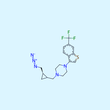 [N-]=[N+]=NC[C@@H]1CC1CN1CCN(c2csc3cc(C(F)(F)F)ccc23)CC1